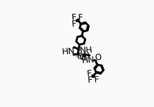 O=C(CNC(=O)c1cccc(C(F)(F)F)c1)N[C@@]1(C2CCC(c3cccc(C(F)(F)F)c3)CC2)CNC[C@@H]1O